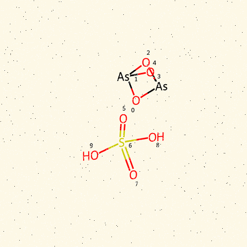 O1[As]2O[As]1O2.O=S(=O)(O)O